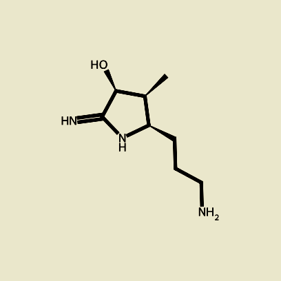 C[C@@H]1[C@H](O)C(=N)N[C@@H]1CCCN